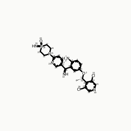 C[C@H](Oc1ccc(N)c(C(=N)c2ccc(N3CCS(=N)(=O)CC3)nc2)c1)c1c(Cl)cncc1Cl